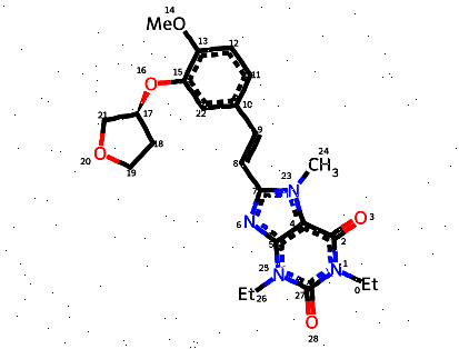 CCn1c(=O)c2c(nc(/C=C/c3ccc(OC)c(O[C@H]4CCOC4)c3)n2C)n(CC)c1=O